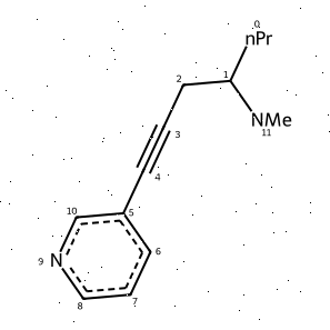 CCCC(CC#Cc1cccnc1)NC